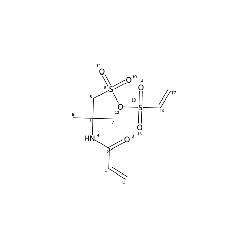 C=CC(=O)NC(C)(C)CS(=O)(=O)OS(=O)(=O)C=C